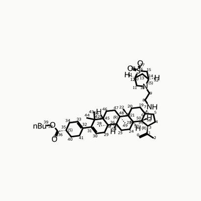 C=C(C)[C@@H]1CC[C@]2(NCCN3C[C@@H]4C[C@H]3CS4(=O)=O)CC[C@]3(C)[C@H](CC[C@@H]4[C@@]5(C)CC=C(C6=CC[C@@H](C(=O)OCCCC)CC6)C(C)(C)[C@@H]5CC[C@]43C)[C@@H]12